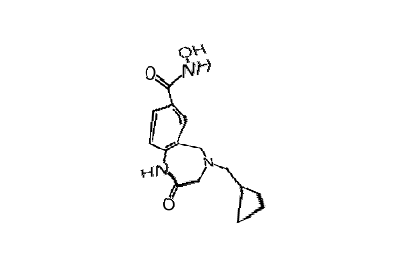 O=C1CN(CC2CC2)Cc2cc(C(=O)NO)ccc2N1